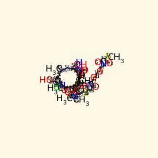 CSC1CC(=O)N(CCOCCOCCN2C(=O)CC(SCCC(=O)N(C)[C@@H](C)C(=O)O[C@H]3CC(=O)N(C)c4cc(cc(CO)c4Cl)C/C(C)=C/C=C/[C@@H](CO)[C@@]4(O)C[C@H](OC(=O)N4)[C@@H](C)[C@@H]4O[C@@]34C)C2=O)C1=O